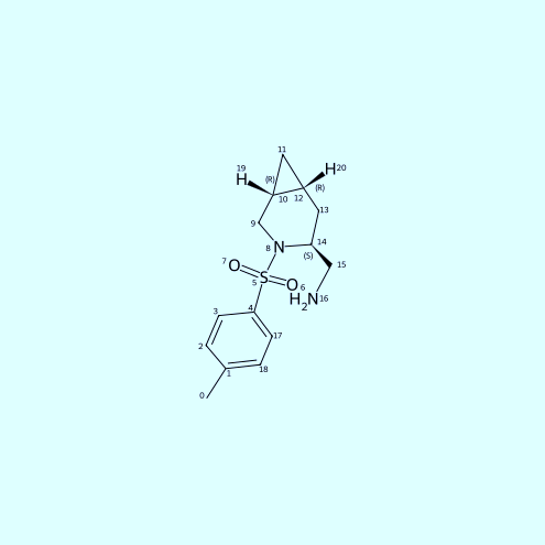 Cc1ccc(S(=O)(=O)N2C[C@@H]3C[C@@H]3C[C@H]2CN)cc1